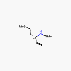 C=C[C@H](CCSC)NNC